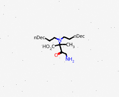 CCCCCCCCCCCCN(CCCCCCCCCCCC)C(C)(C(=O)O)C(=O)CN